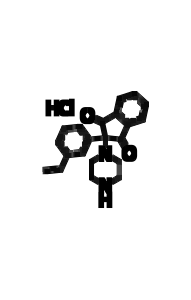 C=Cc1cccc(C2(N3CCNCC3)C(=O)c3ccccc3C2=O)c1.Cl